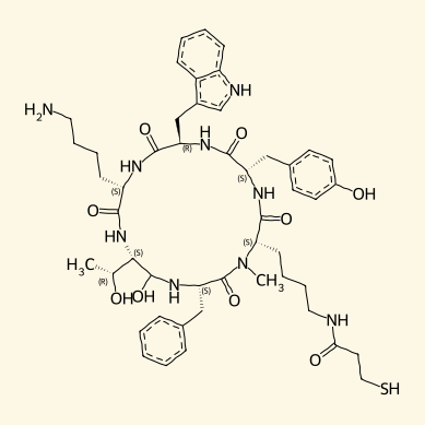 C[C@@H](O)[C@@H]1NC(=O)[C@H](CCCCN)NC(=O)[C@@H](Cc2c[nH]c3ccccc23)NC(=O)[C@H](Cc2ccc(O)cc2)NC(=O)[C@H](CCCCNC(=O)CCS)N(C)C(=O)[C@H](Cc2ccccc2)NC1O